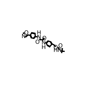 CC(C)(C)NC(=O)OCc1ccc(NC(=O)C(=O)Nc2ccc(-c3cnco3)cc2)cc1